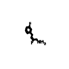 NC/C(F)=C\Cc1cccc(F)c1